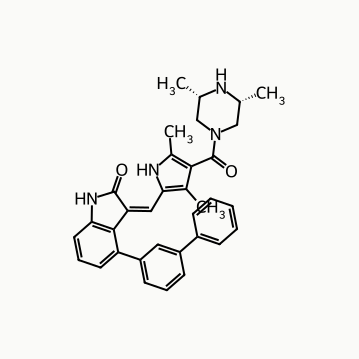 Cc1[nH]c(/C=C2\C(=O)Nc3cccc(-c4cccc(-c5ccccc5)c4)c32)c(C)c1C(=O)N1C[C@@H](C)N[C@@H](C)C1